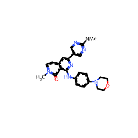 CNc1ncc(-c2cc3ccn(C)c(=O)c3c(Nc3ccc(N4CCOCC4)cc3)n2)cn1